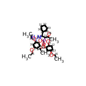 CCOc1ccc(OP(=O)(Oc2ccc(OCC)cc2OCC)C(C(C)=O)C(N)c2ccccc2)c(OCC)c1